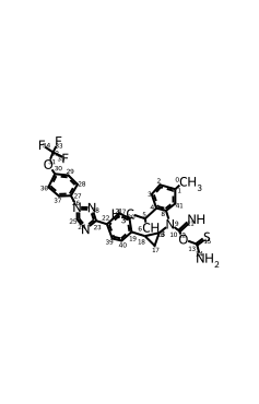 Cc1ccc(C(C)C)c(N(C(=N)OC(N)=S)C2CC2c2ccc(-c3ncn(-c4ccc(OC(F)(F)F)cc4)n3)cc2)c1